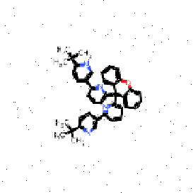 CC(C)(C)c1ccc(-c2cccc(C3(c4cccc(-c5ccc(C(C)(C)C)nc5)n4)c4ccccc4Oc4ccccc43)n2)cn1